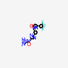 CNCCC(=O)NCc1cnc(-c2cccc(Cn3nc(-c4cc(F)c(F)c(F)c4)ccc3=O)c2)nc1